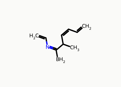 B/C(=N/C=C)C(C)/C=C\C=C